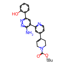 CC(C)(C)OC(=O)N1CC=C(c2ccnc(-c3cc(-c4ccccc4O)nnc3N)c2)CC1